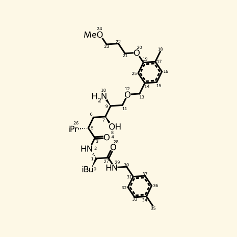 CC[C@H](C)[C@H](NC(=O)[C@@H](C[C@H](O)[C@@H](N)COCc1ccc(C)c(OCCCOC)c1)C(C)C)C(=O)NCc1ccc(C)cc1